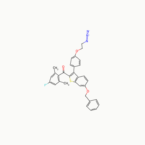 Cc1cc(F)cc(C)c1C(=O)c1sc2cc(OCc3ccccc3)ccc2c1-c1ccc(OCCN=[N+]=[N-])cc1